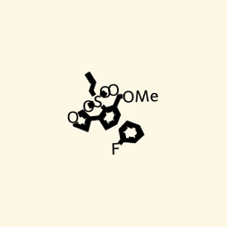 C=CCS(=O)(=O)c1c(C(=O)OC)cccc1-c1ccoc1.Fc1ccccc1